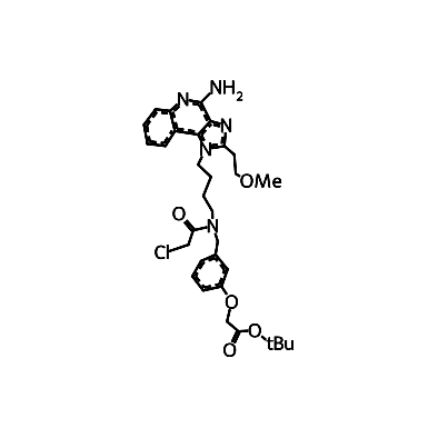 COCCc1nc2c(N)nc3ccccc3c2n1CCCCN(Cc1cccc(OCC(=O)OC(C)(C)C)c1)C(=O)CCl